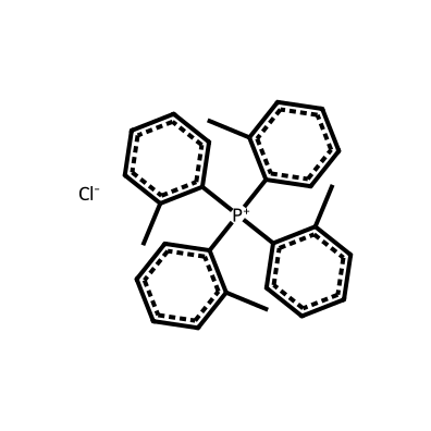 Cc1ccccc1[P+](c1ccccc1C)(c1ccccc1C)c1ccccc1C.[Cl-]